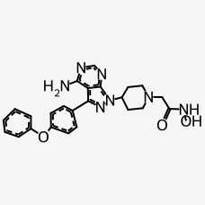 Nc1ncnc2c1c(-c1ccc(Oc3ccccc3)cc1)nn2C1CCN(CC(=O)NO)CC1